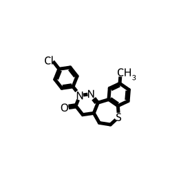 Cc1ccc2c(c1)C1=NN(c3ccc(Cl)cc3)C(=O)CC1CCS2